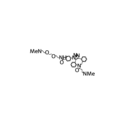 CNCCOCCOCCNC(=O)c1ccc(-n2nnc3c2-c2ccccc2N(C(=O)CCNC)Cc2ccccc2-3)cc1